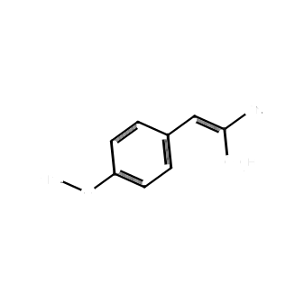 CCCCOc1ccc(C=C(C#N)C(=O)O)cc1